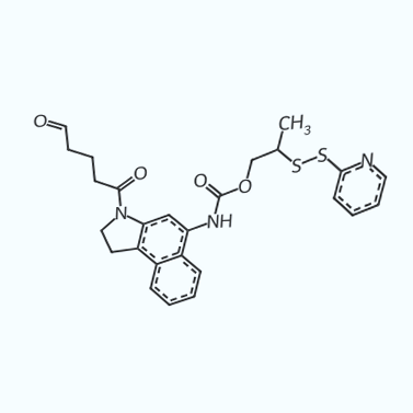 CC(COC(=O)Nc1cc2c(c3ccccc13)CCN2C(=O)CCCC=O)SSc1ccccn1